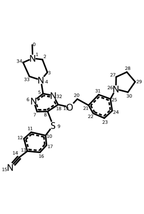 CN1CCN(c2ncc(Sc3ccc(C#N)cc3)c(OCc3cccc(N4CCCC4)c3)n2)CC1